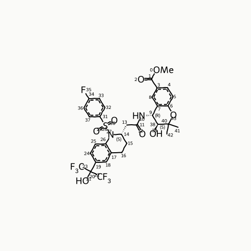 COC(=O)c1ccc2c(c1)[C@@H](NC(=O)C[C@@H]1CCc3cc(C(O)(C(F)(F)F)C(F)(F)F)ccc3N1S(=O)(=O)c1ccc(F)cc1)[C@H](O)C(C)(C)O2